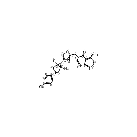 Cc1cncc2ncn(Cc3nc([C@@H]4[C@@H]5CN(c6ccc(Cl)cc6)C[C@@H]54)no3)c(=O)c12